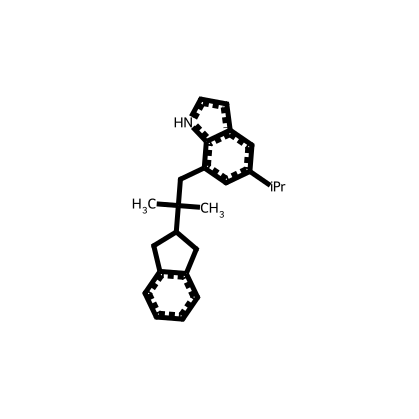 CC(C)c1cc(CC(C)(C)C2Cc3ccccc3C2)c2[nH]ccc2c1